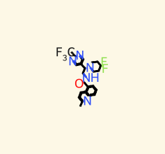 Cc1ccc2c(C(=O)NCC(c3cnc(C(F)(F)F)nc3)N3CCC(F)(F)CC3)cccc2n1